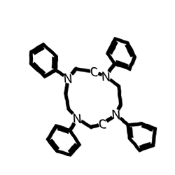 c1ccc(N2CCN(c3ccccc3)CCN(c3ccccc3)CCN(c3ccccc3)CC2)cc1